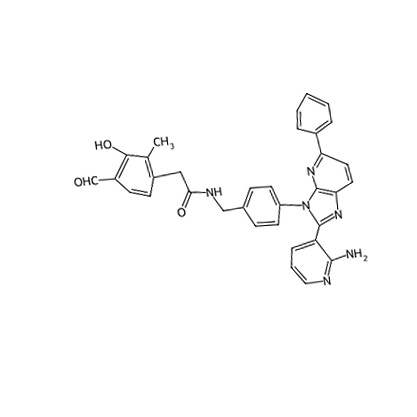 Cc1c(CC(=O)NCc2ccc(-n3c(-c4cccnc4N)nc4ccc(-c5ccccc5)nc43)cc2)ccc(C=O)c1O